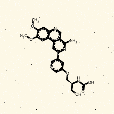 COc1cc2ncc3c(N)nc(-c4cncc(OC[C@H](CO)NC(=O)O)c4)cc3c2cc1OC